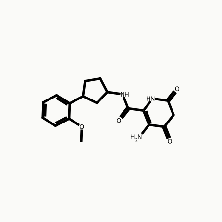 COc1ccccc1C1CCC(NC(=O)C2=C(N)C(=O)CC(=O)N2)C1